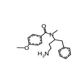 COc1ccc(C(=O)N(C)C(CCN)Cc2ccccc2)cc1